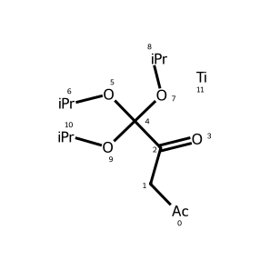 CC(=O)CC(=O)C(OC(C)C)(OC(C)C)OC(C)C.[Ti]